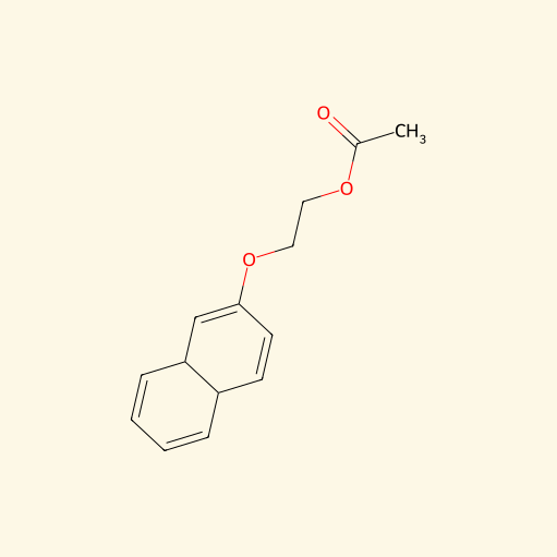 CC(=O)OCCOC1=CC2C=CC=CC2C=C1